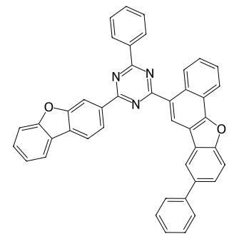 c1ccc(-c2ccc3oc4c5ccccc5c(-c5nc(-c6ccccc6)nc(-c6ccc7c(c6)oc6ccccc67)n5)cc4c3c2)cc1